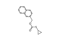 O=C(OCc1ccc2ccccc2c1)SC1CC1